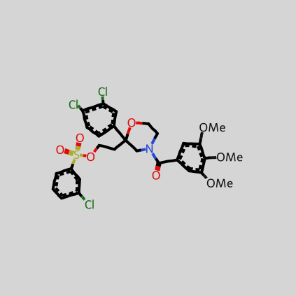 COc1cc(C(=O)N2CCOC(CCOS(=O)(=O)c3cccc(Cl)c3)(c3ccc(Cl)c(Cl)c3)C2)cc(OC)c1OC